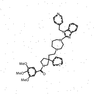 COc1cc(C(=O)N2CCC(CCN3CCCN(c4nc5ccccc5n4Cc4ccncc4)CC3)(c3ccccc3)C2)cc(OC)c1OC